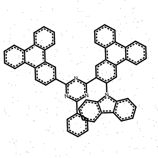 c1ccc(-c2nc(-c3ccc4c5ccccc5c5ccccc5c4c3)nc(-c3cc4c5ccccc5c5ccccc5c4cc3-n3c4ccccc4c4ccccc43)n2)cc1